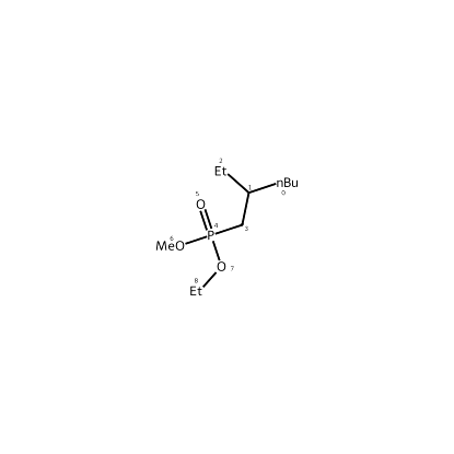 CCCCC(CC)CP(=O)(OC)OCC